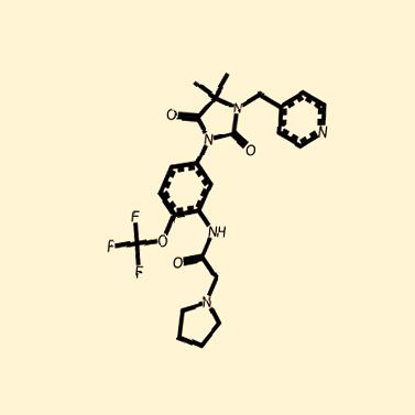 CC1(C)C(=O)N(c2ccc(OC(F)(F)F)c(NC(=O)CN3CCCC3)c2)C(=O)N1Cc1ccncc1